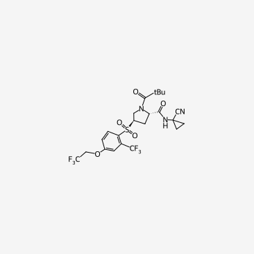 CC(C)(C)C(=O)N1C[C@H](S(=O)(=O)c2ccc(OCC(F)(F)F)cc2C(F)(F)F)C[C@H]1C(=O)NC1(C#N)CC1